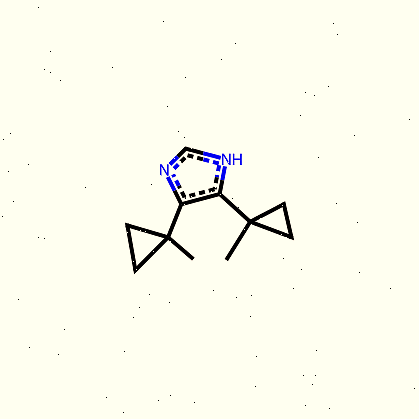 CC1(c2nc[nH]c2C2(C)CC2)CC1